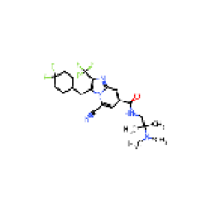 CN(C)C(C)(C)CNC(=O)c1cc(C#N)n2c(CC3CCC(F)(F)CC3)c(C(F)(F)F)nc2c1